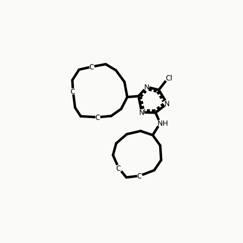 Clc1nc(NC2CCCCCCCCCC2)nc(C2CCCCCCCCCCCC2)n1